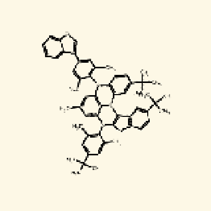 Cc1cc2c3c(c1)N(c1c(C)cc(C(C)(C)C)cc1C)c1oc4ccc(C(C)(C)C)cc4c1B3c1cc(C(C)(C)C)ccc1N2c1c(C)cc(-c2coc3ccccc23)cc1C